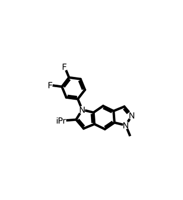 CC(C)c1cc2cc3c(cnn3C)cc2n1-c1ccc(F)c(F)c1